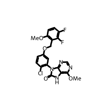 COc1ccc(F)c(F)c1COc1ccc(Cl)c(-n2c(=O)[nH]c3c(OC)ncnc32)c1